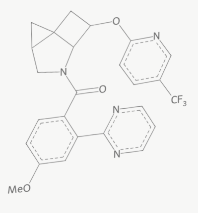 COc1ccc(C(=O)N2CC3CC34CC(Oc3ccc(C(F)(F)F)cn3)C24)c(-c2ncccn2)c1